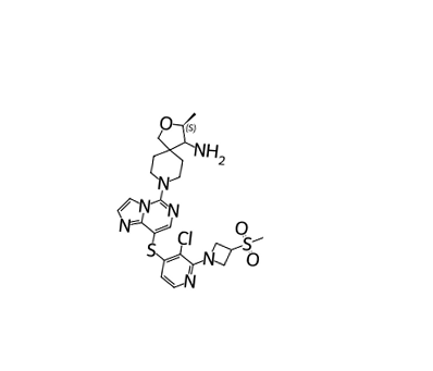 C[C@@H]1OCC2(CCN(c3ncc(Sc4ccnc(N5CC(S(C)(=O)=O)C5)c4Cl)c4nccn34)CC2)C1N